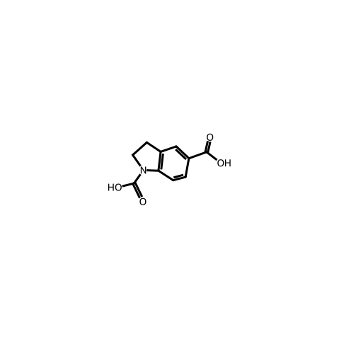 O=C(O)c1ccc2c(c1)CCN2C(=O)O